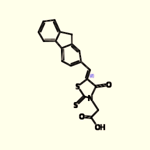 O=C(O)CN1C(=O)/C(=C/c2ccc3c(c2)Cc2ccccc2-3)SC1=S